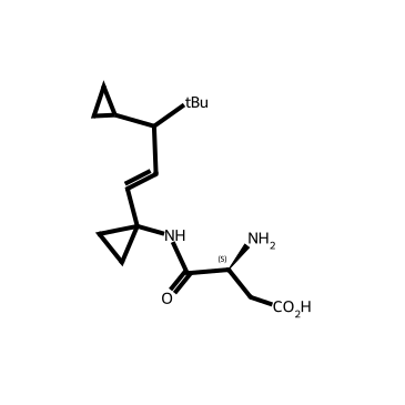 CC(C)(C)C(C=CC1(NC(=O)[C@@H](N)CC(=O)O)CC1)C1CC1